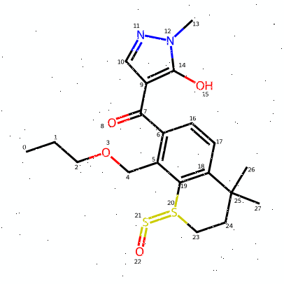 CCCOCc1c(C(=O)c2cnn(C)c2O)ccc2c1S(=S=O)CCC2(C)C